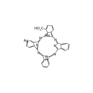 O=C(O)c1cccc2c3nc4nc(nc5[nH]c(nc6nc(nc([nH]3)c12)-c1ccccc1-6)c1ccccc51)-c1ccccc1-4.[Ag]